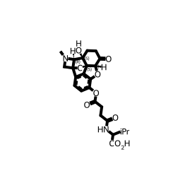 CC(C)C(NC(=O)CCC(=O)Oc1ccc2c3c1O[C@H]1C(=O)CC[C@@]4(O)[C@@H]5N(C)CC25C[C@]314)C(=O)O